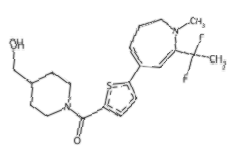 CN1CCC=C(c2ccc(C(=O)N3CCC(CO)CC3)s2)C=C1C(C)(F)F